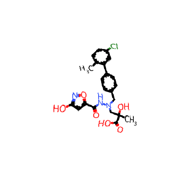 Cc1ccc(Cl)cc1-c1ccc(CN(CC(C)(O)C(=O)O)NC(=O)c2cc(O)no2)cc1